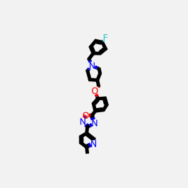 Cc1ccc(-c2noc(-c3cccc(OCC4CCN(Cc5ccc(F)cc5)CC4)c3)n2)cn1